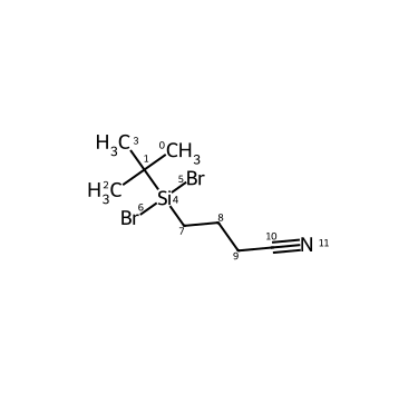 CC(C)(C)[Si](Br)(Br)CCCC#N